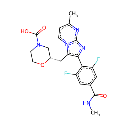 CNC(=O)c1cc(F)c(-c2nc3nc(C)ccn3c2C[C@H]2CN(C(=O)O)CCO2)c(F)c1